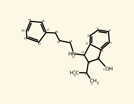 CC(C)C1C(O)c2ccccc2C1NCCCc1ccccc1